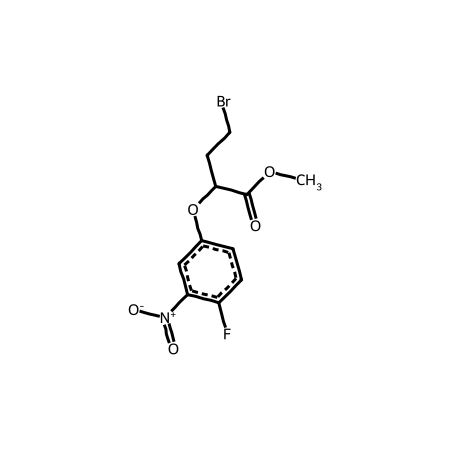 COC(=O)C(CCBr)Oc1ccc(F)c([N+](=O)[O-])c1